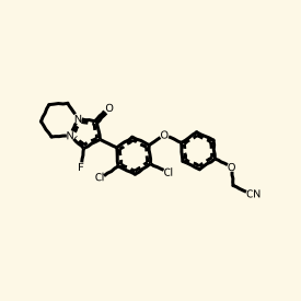 N#CCOc1ccc(Oc2cc(-c3c(F)n4n(c3=O)CCCC4)c(Cl)cc2Cl)cc1